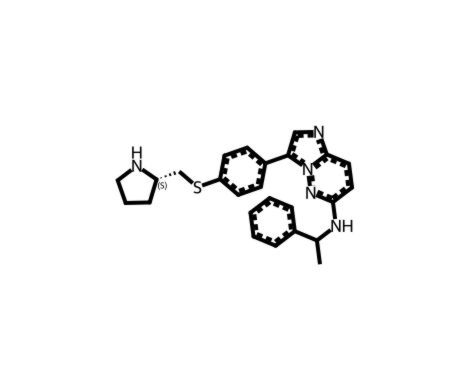 CC(Nc1ccc2ncc(-c3ccc(SC[C@@H]4CCCN4)cc3)n2n1)c1ccccc1